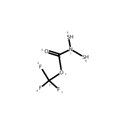 O=C(OC(F)(F)F)N(S)S